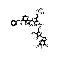 COC1C(OP(=O)(O)OCC2OC(n3cnc4c(=O)[nH]c(N)nc43)C(O)C2O)C(COP(=O)(O)O)OC1n1cnc2c(NCc3ccccc3)ncnc21